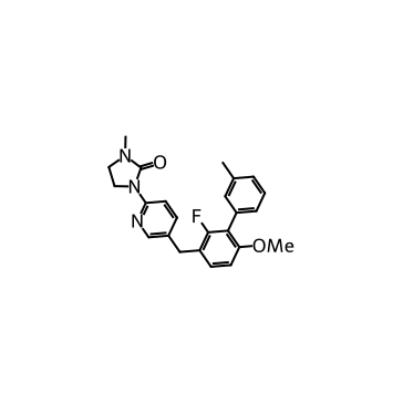 COc1ccc(Cc2ccc(N3CCN(C)C3=O)nc2)c(F)c1-c1cccc(C)c1